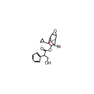 O=C(OC1CC2C3OC3C(C1)[N+]2(CBr)CC1CC1)C(CO)c1ccccc1